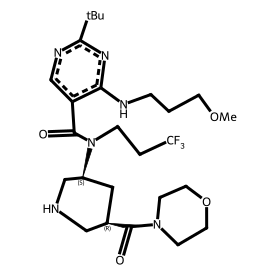 COCCCNc1nc(C(C)(C)C)ncc1C(=O)N(CCC(F)(F)F)[C@@H]1CNC[C@H](C(=O)N2CCOCC2)C1